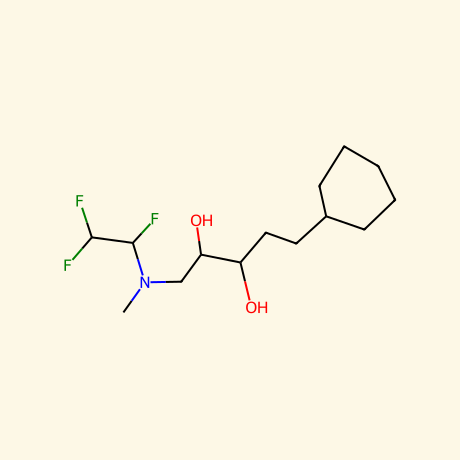 CN(CC(O)C(O)CCC1CCCCC1)C(F)C(F)F